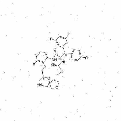 COC(=O)N[C@H](C(=O)Nc1cccc(F)c1CC[C@@H]1CNCC2(CCOC2)O1)[C@@H](c1ccc(Cl)cc1)c1cc(F)cc(F)c1